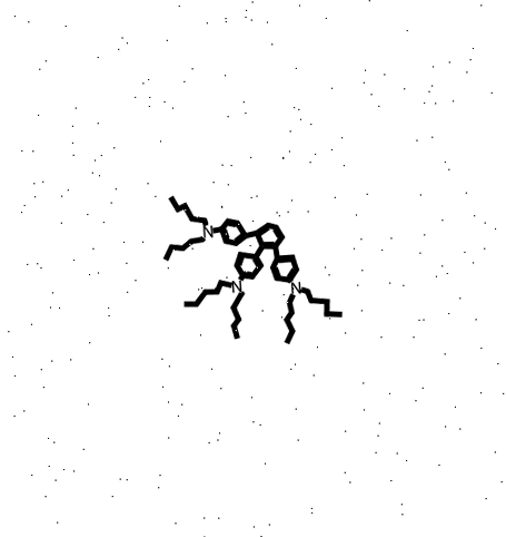 CCCCCN(CCCCC)c1ccc(-c2cccc(-c3ccc(N(CCCCC)CCCCC)cc3)c2-c2ccc(N(CCCCC)CCCCC)cc2)cc1